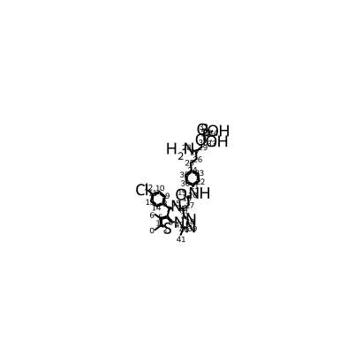 Cc1sc2c(c1C)C(c1ccc(Cl)cc1)=N[C@@H](CC(=O)Nc1ccc(CCC(N)COP(=O)(O)O)cc1)c1nnc(C)n1-2